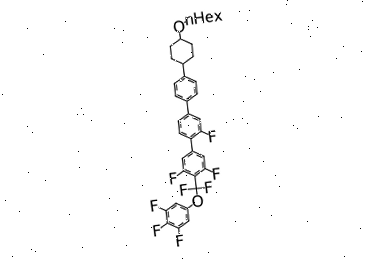 CCCCCCOC1CCC(c2ccc(-c3ccc(-c4cc(F)c(C(F)(F)Oc5cc(F)c(F)c(F)c5)c(F)c4)c(F)c3)cc2)CC1